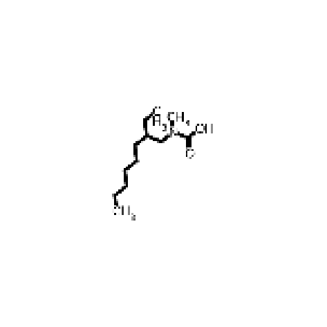 CCCCCCC(CC)CN(C)C(=O)O